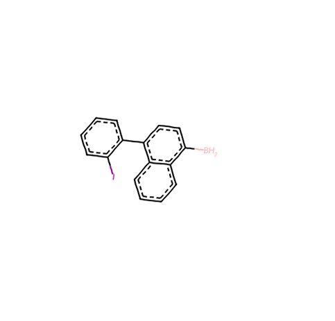 Bc1ccc(-c2ccccc2I)c2ccccc12